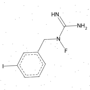 N=C(N)N(F)Cc1cccc(I)c1